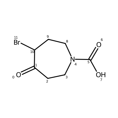 O=C1CCN(C(=O)O)CCC1Br